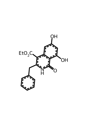 CCOC(=O)c1c(Cc2ccccc2)[nH]c(=O)c2c(O)cc(O)cc12